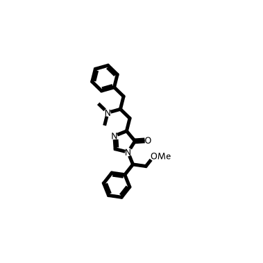 COCC(c1ccccc1)N1C=NC(CC(Cc2ccccc2)N(C)C)C1=O